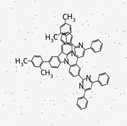 Cc1ccc(-c2ccc3c(c2)c2cc(-c4ccc(C)cc4C)ccc2n3-c2ccc(-c3nc(-c4ccccc4)cc(-c4ccccc4)n3)cc2-c2cc(-c3ccccc3)nc(-c3ccccc3)n2)c(C)c1